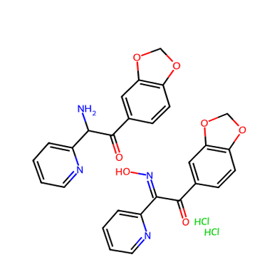 Cl.Cl.NC(C(=O)c1ccc2c(c1)OCO2)c1ccccn1.O=C(C(=NO)c1ccccn1)c1ccc2c(c1)OCO2